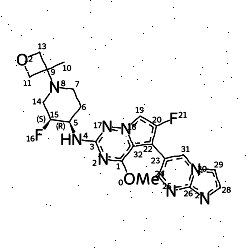 COc1nc(N[C@@H]2CCN(C3(C)COC3)C[C@@H]2F)nn2cc(F)c(-c3cnc4nccn4c3)c12